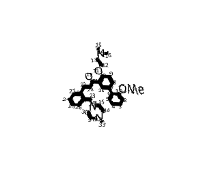 COc1ccccc1-c1ccc(OCCN(C)C)c(C(=O)C=Cc2ccccc2CN2CCN(C)CC2)c1